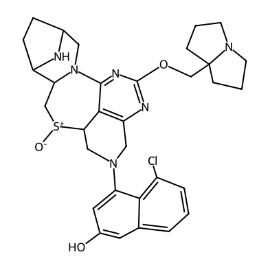 [O-][S+]1CC2C3CCC(CN2c2nc(OCC45CCCN4CCC5)nc4c2C1CN(c1cc(O)cc2cccc(Cl)c12)C4)N3